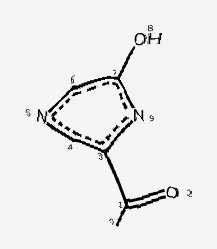 CC(=O)c1cncc(O)n1